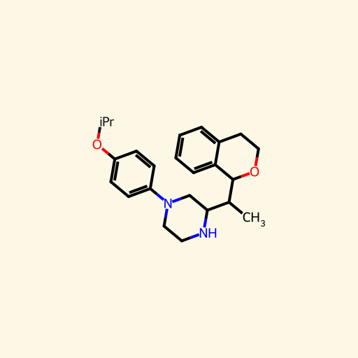 CC(C)Oc1ccc(N2CCNC(C(C)C3OCCc4ccccc43)C2)cc1